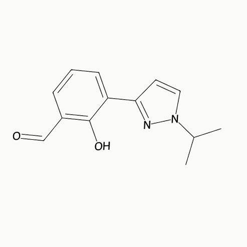 CC(C)n1ccc(-c2cccc(C=O)c2O)n1